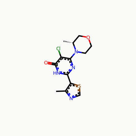 Cc1ncsc1-c1nc(N2CCOC[C@H]2C)c(Cl)c(=O)[nH]1